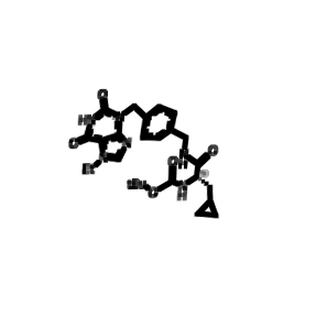 CCn1cnc2c1c(=O)[nH]c(=O)n2Cc1ccc(CNC(=O)[C@H](CC2CC2)NC(=O)OC(C)(C)C)cc1